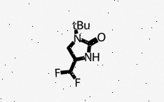 CC(C)(C)N1CC(C(F)F)NC1=O